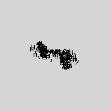 CN[C@@H](C)C(=O)NC(C(=O)N1C[C@@H](NC(=O)c2cccc(C(=O)NCCCC[C@H](NC(=O)[C@H](C)NC)C(=O)NC(C(=O)N3CCCCC3)C(C)(C)C)c2)C[C@H]1C(=O)N[C@@H]1CCCc2ccccc21)C(C)(C)C